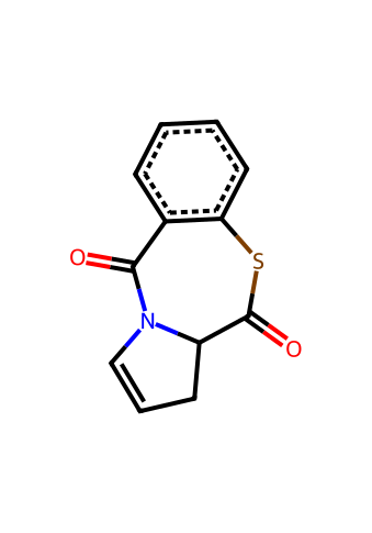 O=C1Sc2ccccc2C(=O)N2C=CCC12